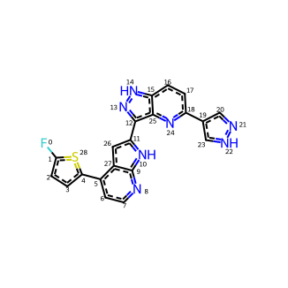 Fc1ccc(-c2ccnc3[nH]c(-c4n[nH]c5ccc(-c6cn[nH]c6)nc45)cc23)s1